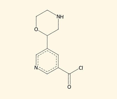 O=C(Cl)c1cncc(C2CNCCO2)c1